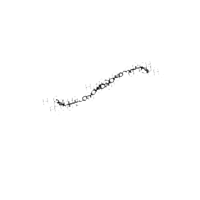 C=CC(=O)OCC(C)(C)COC(=O)CCC(=O)OCCc1ccc(OC(=O)C2CCC(C(=O)Oc3ccc(OC(=O)C4CCC(C(=O)Oc5ccc(CCOC(=O)CCC(=O)OCC(C)(C)COC(=O)C=C)cc5)CC4)c(C)c3C)CC2)cc1